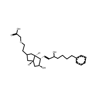 O=C(O)COCCC1C[C@H]2C[C@H](O)[C@@H](C=CC(O)CCCCc3ccccc3)[C@@H]2C1